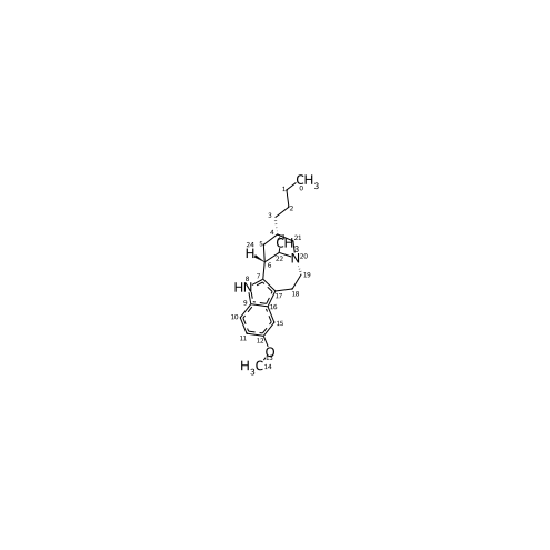 CCCC[C@H]1C[C@H]2c3[nH]c4ccc(OC)cc4c3CC[N@@](C1)C2C